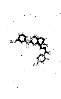 CC(=O)N1CCN(C(=O)c2cc3c(ccc4cnc(Nc5cccc(C(C)(C)C)c5)nc43)s2)CC1